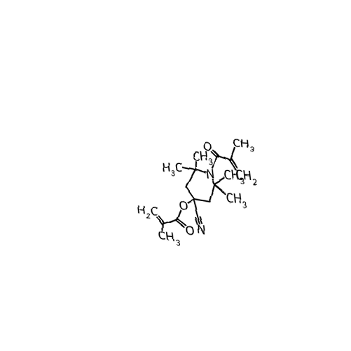 C=C(C)C(=O)OC1(C#N)CC(C)(C)N(C(=O)C(=C)C)C(C)(C)C1